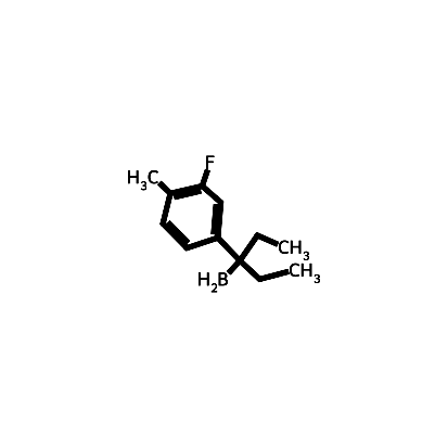 BC(CC)(CC)c1ccc(C)c(F)c1